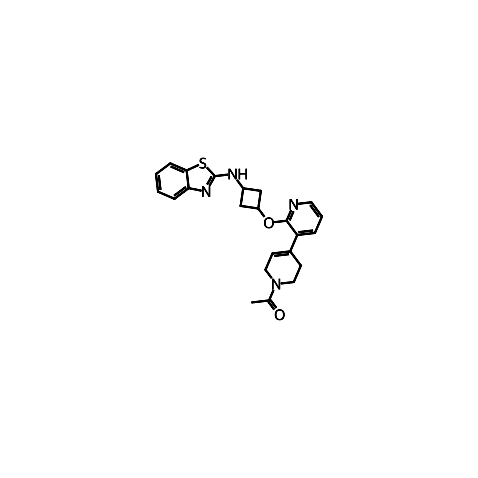 CC(=O)N1CC=C(c2cccnc2OC2CC(Nc3nc4ccccc4s3)C2)CC1